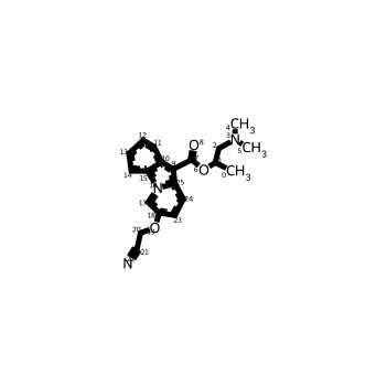 CC(CN(C)C)OC(=O)c1c2ccccc2n2cc(OCC#N)ccc12